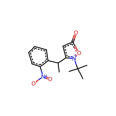 CC(c1ccccc1[N+](=O)[O-])c1cc(=O)on1C(C)(C)C